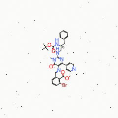 COC(=O)c1c(Br)cccc1C=Nc1c(-c2ccncc2)nc(NC[C@@H](Cc2ccccc2)NC(=O)OC(C)(C)C)n(C)c1=O